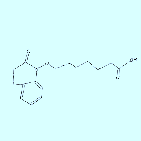 O=C(O)CCCCCCON1C(=O)CCc2ccccc21